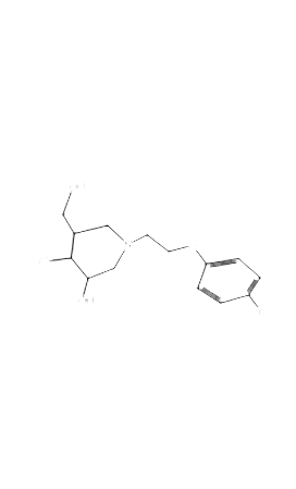 OCC1CN(CCOc2ccc(F)cc2)CC(O)C1O